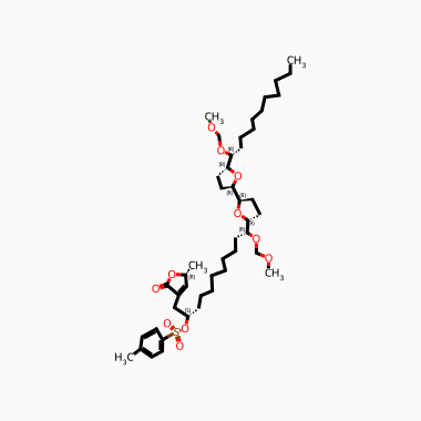 CCCCCCCCCC[C@@H](OCOC)[C@H]1CC[C@H]([C@H]2CC[C@H]([C@@H](CCCCCCCC[C@@H](CC3=C[C@@H](C)OC3=O)OS(=O)(=O)c3ccc(C)cc3)OCOC)O2)O1